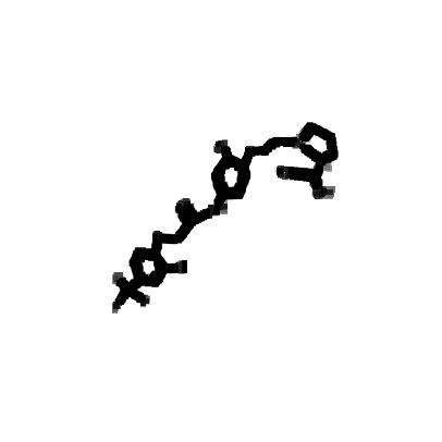 O=C(COc1ccc(C(F)(F)F)cc1Cl)Nc1ccc(OCCN2CCC[C@H]2C(=O)O)c(Cl)c1